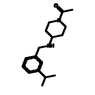 CC(=O)N1CCC(NCc2cccc(C(C)C)c2)CC1